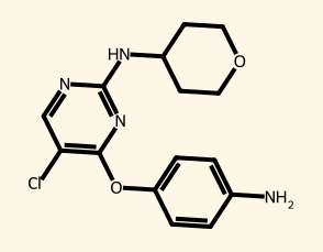 Nc1ccc(Oc2nc(NC3CCOCC3)ncc2Cl)cc1